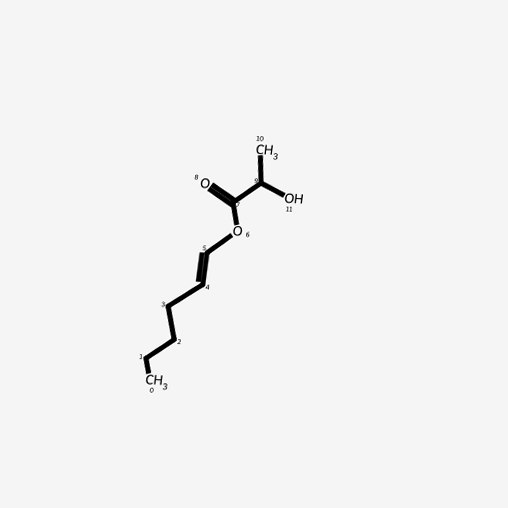 CCCCC=COC(=O)C(C)O